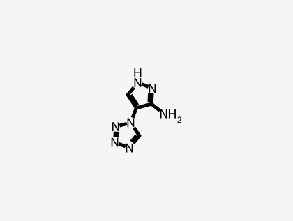 Nc1n[nH]cc1-n1cnnn1